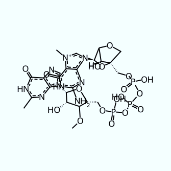 COC1[C@@H](COP(=O)(O)OP(=O)(O)OP(=O)(O)OC[C@]23COC([C@H](n4c[n+](C)c5c(=O)[nH]c(N)nc54)O2)[C@H]3O)O[C@@H](n2cnc3c(=O)[nH]c(C)nc32)[C@H]1O